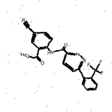 N#Cc1ccc(NC(=O)c2ccc(-c3ccccc3C(F)(F)F)nn2)c(C(=O)O)c1